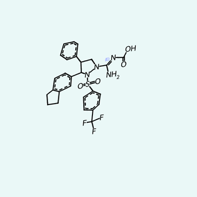 N/C(=N\C(=O)O)N1CC(c2ccccc2)C(c2ccc3c(c2)CCC3)N1S(=O)(=O)c1ccc(C(F)(F)F)cc1